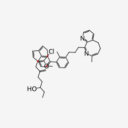 C=C(CCC(O)CC)CC1=C(\OC)CC/C=C(c2cccc(-c3cccc(CCC/C4=N/C(C)=C\CCc5cccnc54)c3C)c2Cl)/C=C\1